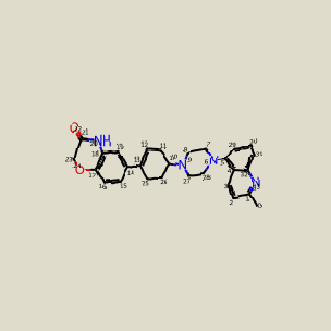 Cc1ccc2c(N3CCN(C4CC=C(c5ccc6c(c5)NC(=O)CO6)CC4)CC3)cccc2n1